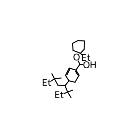 CCC(C)(C)CC(C1C=CC(C(O)OC2(CC)CCCCC2)=CC1)C(C)(C)CC